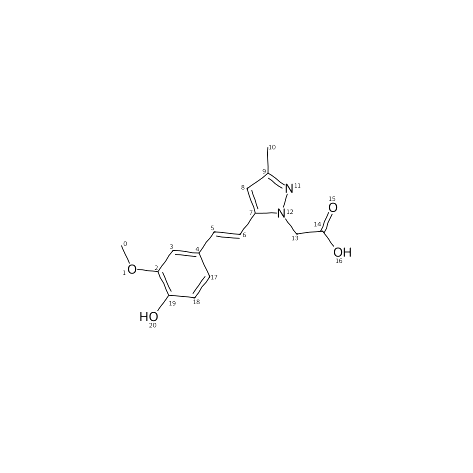 COc1cc(C=Cc2cc(C)nn2CC(=O)O)ccc1O